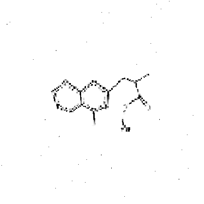 Cc1nc(CN(C)C(=O)OC(C)(C)C)cc2ccccc12